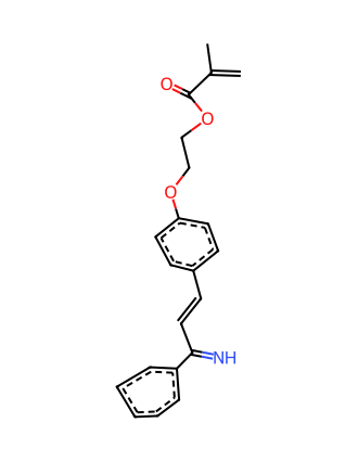 C=C(C)C(=O)OCCOc1ccc(C=CC(=N)c2ccccc2)cc1